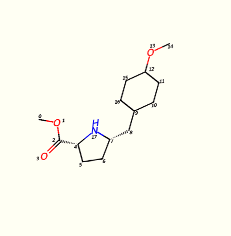 COC(=O)[C@H]1CC[C@@H](CC2CCC(OC)CC2)N1